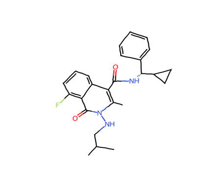 Cc1c(C(=O)N[C@H](c2ccccc2)C2CC2)c2cccc(F)c2c(=O)n1NCC(C)C